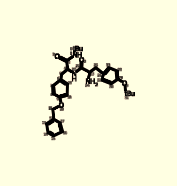 CC(C)(C)NC(=O)C(Cc1ccc(OCc2ccccc2)cc1)NC(=O)C(N)Cc1ccc(OC(C)(C)C)cc1